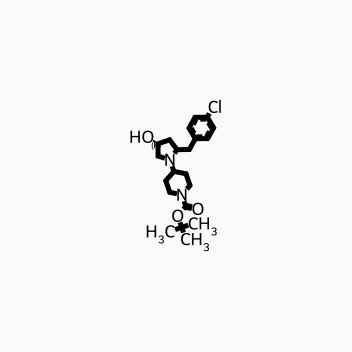 CC(C)(C)OC(=O)N1CCC(N2C[C@H](O)CC2Cc2ccc(Cl)cc2)CC1